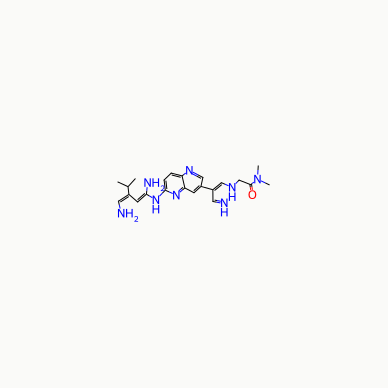 CC(C)C(=C/N)/C=C(\N)Nc1ccc2ncc(/C(C=N)=C/NCC(=O)N(C)C)cc2n1